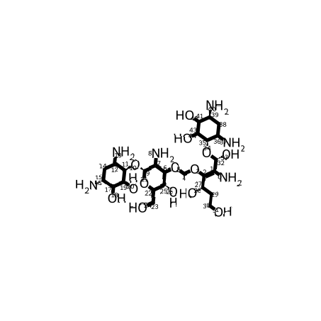 N/C(=C(/OCOC1C(N)[C@@H](O[C@@H]2C(N)C[C@@H](N)C(O)C2O)OC(CO)[C@H]1O)[C@@H](O)CCO)[C@@H](O)O[C@H]1C(N)C[C@H](N)C(O)C1O